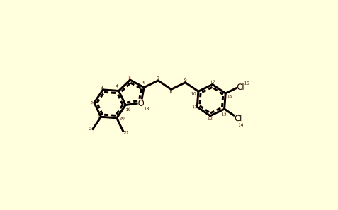 Cc1ccc2cc(CCCc3ccc(Cl)c(Cl)c3)oc2c1C